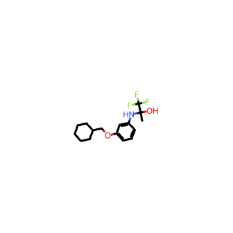 CC(O)(Nc1cccc(OCC2CCCCC2)c1)C(F)(F)F